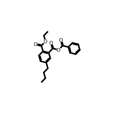 CCCCc1ccc(C(=O)OCC)c(C(=O)OC(=O)c2ccccc2)c1